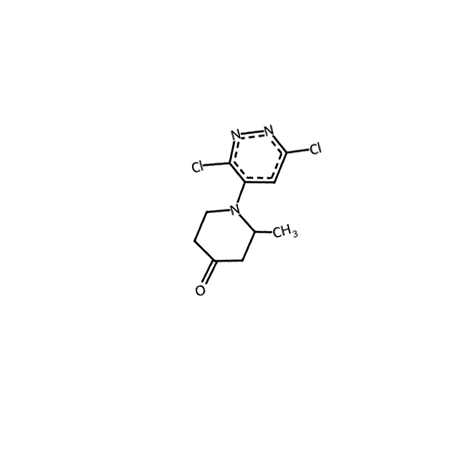 CC1CC(=O)CCN1c1cc(Cl)nnc1Cl